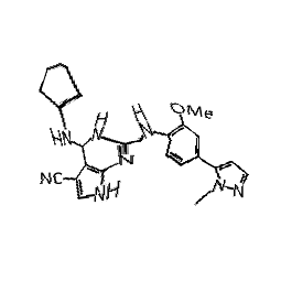 COc1cc(-c2ccnn2C)ccc1NC1=Nc2[nH]cc(C#N)c2C(NC2CCCC2)N1